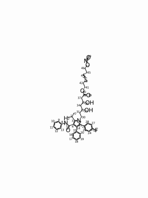 CC(C)c1c(C(=O)Nc2ccccc2)c(-c2ccccc2)c(-c2ccc(F)cc2)n1CC[C@@H](O)C[C@@H](O)CC(=O)OCCSSCCON=O